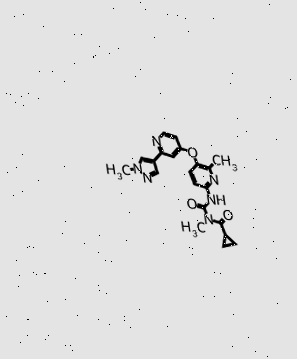 Cc1nc(NC(=O)N(C)C(=O)C2CC2)ccc1Oc1ccnc(-c2cnn(C)c2)c1